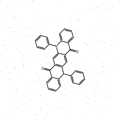 O=C1c2ccccc2C(c2ccccc2)c2cc3c(=O)c4ccccc4n(-c4ccccc4)c3cc21